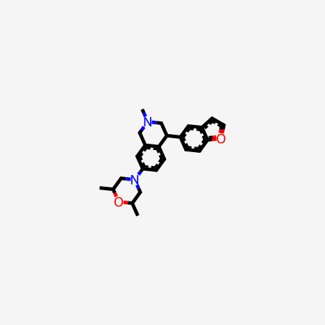 CC1CN(c2ccc3c(c2)CN(C)CC3c2ccc3occc3c2)CC(C)O1